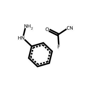 N#CC(=O)F.NNc1ccccc1